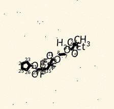 CCC(C)(C)C(=O)OCCOC(=O)C(F)(F)CC(F)(F)C(=O)OC1CCCC1